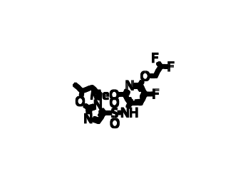 COc1nc(OCC(F)F)c(F)cc1NS(=O)(=O)c1cnc2n1CCC(C)O2